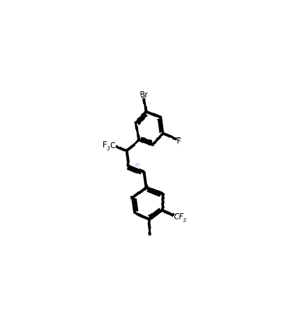 Cc1ccc(/C=C/C(c2cc(F)cc(Br)c2)C(F)(F)F)cc1C(F)(F)F